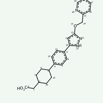 O=C(O)CC1CCC(c2ccc(-c3cc(OCc4ccccn4)n[nH]3)cc2)CC1